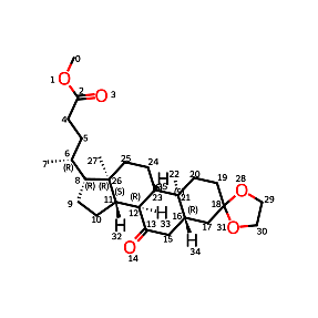 COC(=O)CC[C@@H](C)[C@H]1CC[C@H]2[C@@H]3C(=O)C[C@H]4CC5(CC[C@]4(C)[C@H]3CC[C@]12C)OCCO5